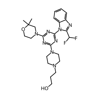 CC1(C)CN(c2nc(N3CCN(CCCO)CC3)nc(-n3c(C(F)F)nc4ccccc43)n2)CCO1